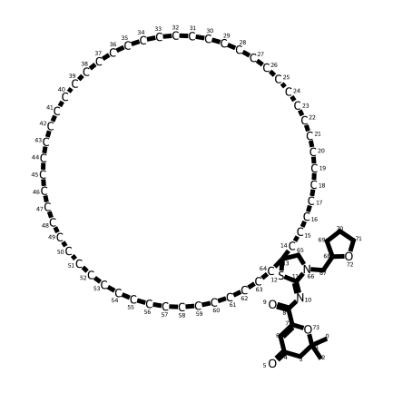 CC1(C)CC(=O)C=C(C(=O)N=C2SC3(CCCCCCCCCCCCCCCCCCCCCCCCCCCCCCCCCCCCCCCCCCCCCCCCCCC3)CN2CC2CCCO2)O1